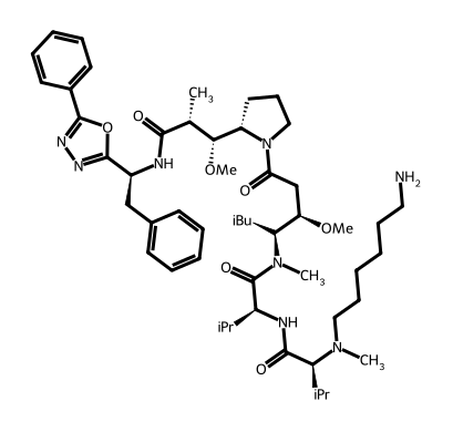 CC[C@H](C)[C@@H]([C@@H](CC(=O)N1CCC[C@H]1[C@H](OC)[C@@H](C)C(=O)N[C@@H](Cc1ccccc1)c1nnc(-c2ccccc2)o1)OC)N(C)C(=O)[C@@H](NC(=O)[C@H](C(C)C)N(C)CCCCCCN)C(C)C